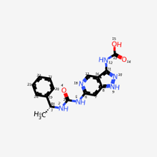 C[C@@H](NC(=O)Nc1cc2[nH]nc(NC(=O)O)c2cn1)c1ccccc1